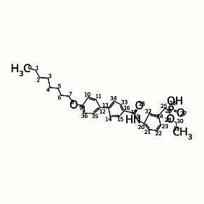 CCCCCCCCOc1ccc(-c2ccc(C(=O)Nc3cccc(CP(=O)(O)OCC)c3)cc2)cc1